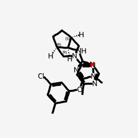 Cc1cc(Cl)cc(Oc2nc(N[C@H]3[C@@H]4CC[C@H]3CN(c3cc(C)ncn3)C4)nn2C)c1